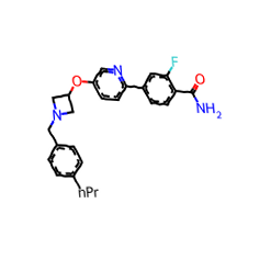 CCCc1ccc(CN2CC(Oc3ccc(-c4ccc(C(N)=O)c(F)c4)nc3)C2)cc1